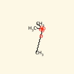 CCCCCCCCCCCCOCCCOP(=O)(OCCCC)OCCCC